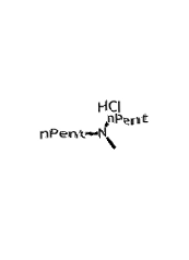 CCCCCN(C)CCCCC.Cl